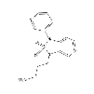 CNCCCN1c2ccccc2N(c2cccnc2)S1(=O)=O